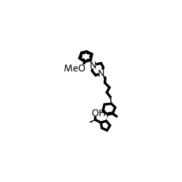 COc1ccccc1N1CCN(CCCCC[C@@H]2CCC([C@@H]3CCCC3[C@@H](C)O)=C(C)C2)CC1